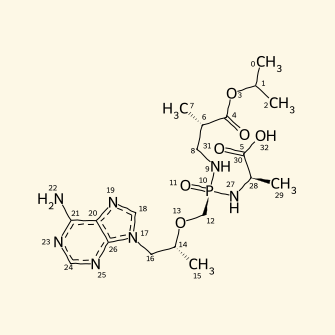 CC(C)OC(=O)[C@@H](C)CN[P@](=O)(CO[C@H](C)Cn1cnc2c(N)ncnc21)N[C@H](C)C(=O)O